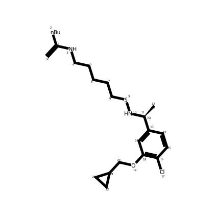 C=C(CCCC)NCCCCCSN[C@@H](C)c1ccc(Cl)c(OCC2CC2)c1